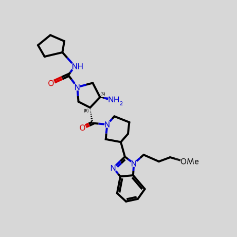 COCCCn1c(C2CCCN(C(=O)[C@@H]3CN(C(=O)NC4CCCC4)C[C@H]3N)C2)nc2ccccc21